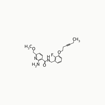 CCC#CCCOc1cccc(CNC(=O)c2ccc(COC)nc2N)c1F